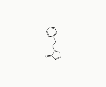 O=C1C=CCN1SCc1ccccc1